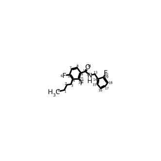 CCCCc1c(F)ccc(C(=O)NCc2ccccc2F)c1F